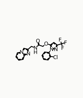 O=C(COc1cc(C(F)(F)F)nn1-c1ccccc1Cl)NCc1cn2ccccc2n1